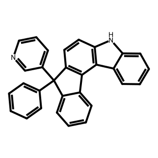 c1ccc(C2(c3cccnc3)c3ccccc3-c3c2ccc2[nH]c4ccccc4c32)cc1